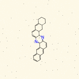 [CH]1CCCC2CC3C(=CC=C4N=c5c(ccc6cc7ccccc7cc56)=NC43)C=C12